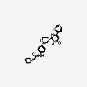 Cn1c(N2CCO[C@@H](c3ccc(NC(=O)CN4CCCC4)cc3)C2)nc(-c2ccncn2)cc1=O